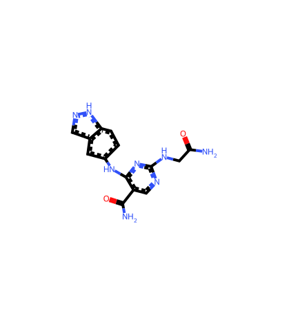 NC(=O)CNc1ncc(C(N)=O)c(Nc2ccc3[nH]ncc3c2)n1